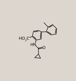 Cc1ccccc1-c1ccc(C(=O)O)c(NC(=O)C2CC2)c1